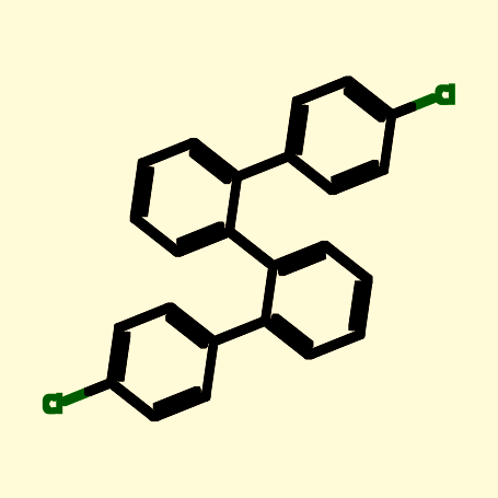 Clc1ccc(-c2ccccc2-c2ccccc2-c2ccc(Cl)cc2)cc1